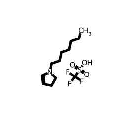 CCCCCCCN1C=CCC1.O=S(=O)(O)C(F)(F)F